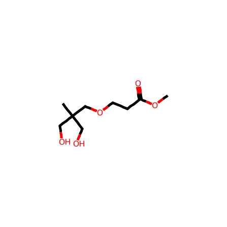 COC(=O)CCOCC(C)(CO)CO